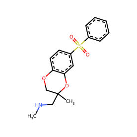 CNCC1(C)COc2ccc(S(=O)(=O)c3ccccc3)cc2O1